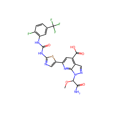 COC(C(N)=O)n1ncc2c(C(=O)O)cc(-c3cnc(NC(=O)Nc4cc(C(F)(F)F)ccc4F)s3)nc21